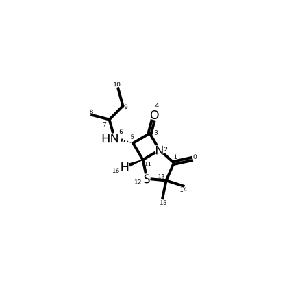 C=C1N2C(=O)[C@@H](NC(C)CC)[C@H]2SC1(C)C